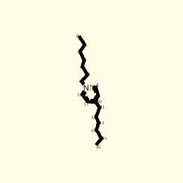 CCCCCCC[n+]1ccc(CCCCCC)cc1